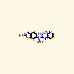 CCCN(/C(=N/c1cccnc1)NC#N)c1ccc2nc(S)sc2c1